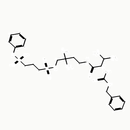 CC(C)[C@H](NC(=O)OCc1ccccc1)C(=O)NCCC(C)(C)COS(=O)(=O)CCCS(=O)(=O)Oc1ccccc1